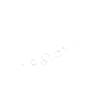 C#CCn1cc(-c2cnc3c(Nc4ccc(C(=O)NCCOCC(C)N)c(CC)c4)nccn23)c(C(F)(F)F)n1